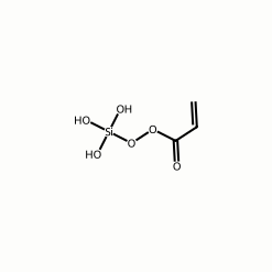 C=CC(=O)OO[Si](O)(O)O